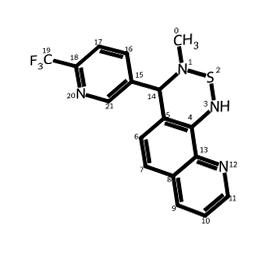 CN1SNc2c(ccc3cccnc23)C1c1ccc(C(F)(F)F)nc1